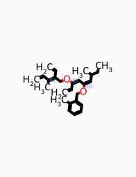 C=C/C(=C\C(=C/C(C)CC)OCc1ccccc1C)OC/C(C=C)=C(\C)C=C